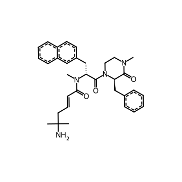 CN1CCN(C(=O)[C@@H](Cc2ccc3ccccc3c2)N(C)C(=O)C=CCC(C)(C)N)[C@H](Cc2ccccc2)C1=O